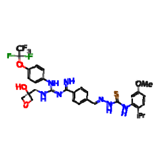 COc1ccc(C(C)C)c(NC(=S)N/N=C/c2ccc(C(=N)/N=C(/NCC3(O)COC3)Nc3ccc(OC(F)(F)C(F)(F)F)cc3)cc2)c1